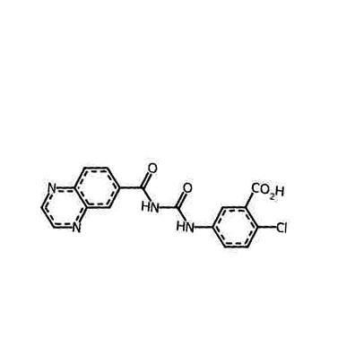 O=C(NC(=O)c1ccc2nccnc2c1)Nc1ccc(Cl)c(C(=O)O)c1